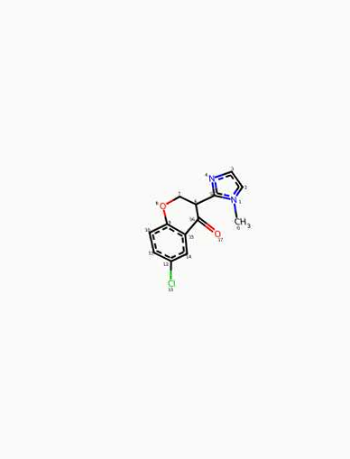 Cn1ccnc1C1COc2ccc(Cl)cc2C1=O